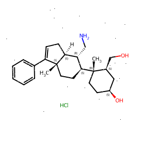 C[C@]1([C@H]2CC[C@]3(C)C(c4ccccc4)=CC[C@H]3[C@@H]2CN)CC[C@H](O)C[C@@H]1CO.Cl